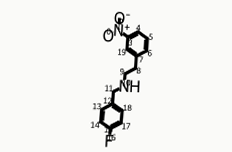 O=[N+]([O-])c1cccc(CCNCc2ccc(F)cc2)c1